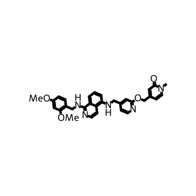 COc1ccc(CNc2nccc3c(NCc4ccnc(OCc5ccn(C)c(=O)c5)c4)cccc23)c(OC)c1